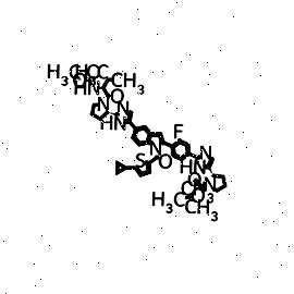 COC(=O)N[C@H](C(=O)N1CCC[C@H]1c1ncc(-c2ccc3c(c2)cc2n3C(c3ccc(C4CC4)s3)Oc3cc(-c4ncc([C@@H]5CCCN5C(=O)OC(C)(C)C)[nH]4)cc(F)c3-2)[nH]1)C(C)C